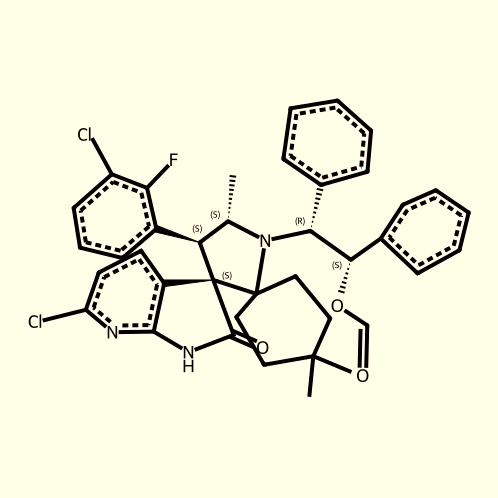 C[C@H]1[C@H](c2cccc(Cl)c2F)[C@@]2(C(=O)Nc3nc(Cl)ccc32)C2(CCC(C)(C)CC2)N1[C@H](c1ccccc1)[C@@H](OC=O)c1ccccc1